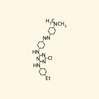 CCc1ccc(Nc2nc(Cl)nc(Nc3ccc(N=Nc4ccc(N(C)C)cc4)cc3)n2)cc1